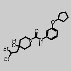 CCC(CC)CC1(O)CCN(C(=O)Nc2cccc(OC3CCCC3)c2)CC1